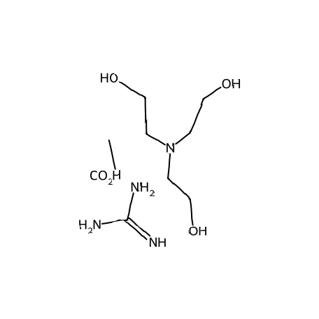 CC(=O)O.N=C(N)N.OCCN(CCO)CCO